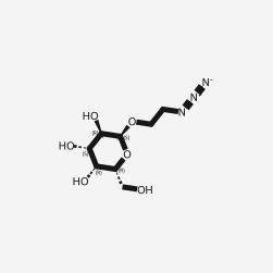 [N-]=[N+]=NCCO[C@H]1O[C@H](CO)[C@H](O)[C@H](O)[C@H]1O